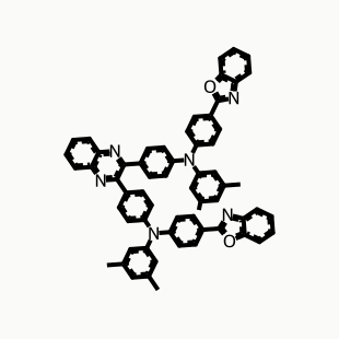 Cc1cc(C)cc(N(c2ccc(-c3nc4ccccc4o3)cc2)c2ccc(-c3nc4ccccc4nc3-c3ccc(N(c4ccc(-c5nc6ccccc6o5)cc4)c4cc(C)cc(C)c4)cc3)cc2)c1